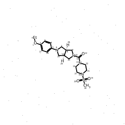 CCOc1ccc(N2C[C@H]3CN(C(=O)N4CCN(S(C)(=O)=O)CC4)C[C@H]3C2)cc1